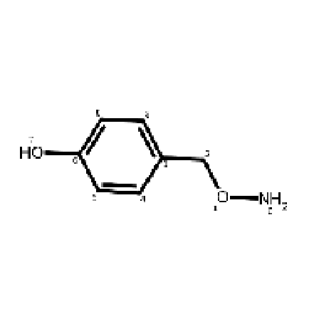 NOCc1ccc(O)cc1